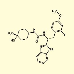 COc1ccc(C[C@@H](NC(=O)N[C@H]2CC[C@](C)(O)CC2)c2nc3ccccc3[nH]2)c(F)c1